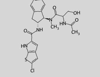 CC(=O)NC(CO)C(=O)N(C)[C@@H]1c2ccccc2C[C@H]1NC(=O)c1cc2cc(Cl)sc2[nH]1